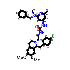 COc1cc2c(cc1OC)C(Cc1ccc(F)cc1)N(CCNC(=O)Nc1cc(C)nc(N(C)Cc3ccccc3)c1)CC2